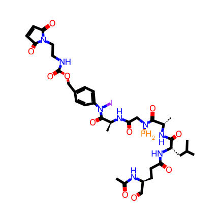 CC(=O)N[C@H](C=O)CCC(=O)N[C@@H](CC(C)C)C(=O)N[C@@H](C)C(=O)N(P)CC(=O)N[C@@H](C)C(=O)N(I)c1ccc(COC(=O)NCCN2C(=O)C=CC2=O)cc1